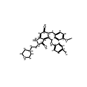 COc1ccc(Cn2c(COc3ccc(F)cc3)c3c(=O)n(CCN4CCOCC4)[nH]c3cc2=O)cc1